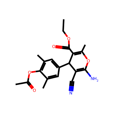 CCOC(=O)C1=C(C)OC(N)=C(C#N)C1c1cc(C)c(OC(C)=O)c(C)c1